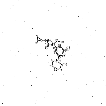 C[C@@H]1COCCN1c1nc(Cl)c2c(n1)N(C(=O)NC1CC1)CC2